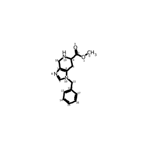 COC(=O)C1Cc2c(ncn2Cc2ccccc2)CN1